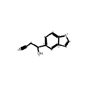 N#CCC(O)c1ccc2sccc2c1